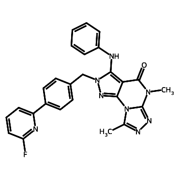 Cc1nnc2n(C)c(=O)c3c(Nc4ccccc4)n(Cc4ccc(-c5cccc(F)n5)cc4)nc3n12